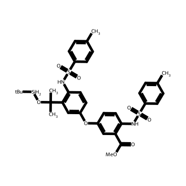 COC(=O)c1cc(Oc2ccc(NS(=O)(=O)c3ccc(C)cc3)c(C(C)(C)O[SiH2]C(C)(C)C)c2)ccc1NS(=O)(=O)c1ccc(C)cc1